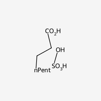 CCCCCCCC(=O)O.O=S(=O)(O)O